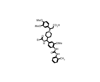 CCC(=O)NC(c1ccc(NC(=O)Nc2ccccc2C)c(OC)c1)C1CCN(C(CC(=O)O)c2ccc(OC)c(OC)c2)CC1